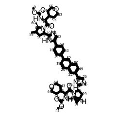 COC(=O)N[C@H](C(=O)N1C(c2ncc(-c3ccc(-c4ccc5cc(-c6cnc([C@@H]7C[C@H]8C[C@H]8N7C(=O)[C@@H](NC(=O)OC)C7CCOCC7)[nH]6)ccc5c4)cc3)[nH]2)CC(C)[C@H]1C)C1CCOCC1